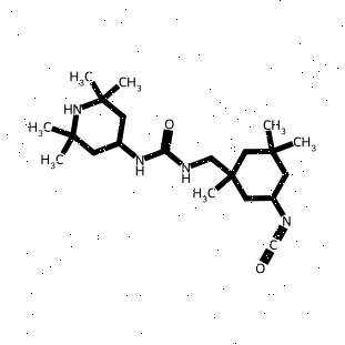 CC1(C)CC(N=C=O)CC(C)(CNC(=O)NC2CC(C)(C)NC(C)(C)C2)C1